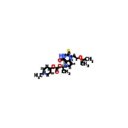 CC(C)OCCn1c(=S)[nH]c(=O)c2c1ccn2C(C)OC(=O)OC1CCN(C)CC1